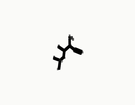 C#CC(N)C(C)CN(C)C